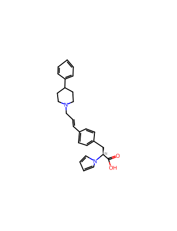 O=C(O)[C@H](Cc1ccc(C=CCN2CCC(c3ccccc3)CC2)cc1)n1cccc1